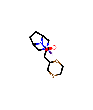 O=C(CC1CSCCS1)N1C2CCC1CN(I)C2